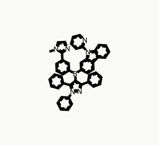 Cn1ccnc1-c1cccc(B(c2ccc3c4ccccc4n(-c4ccccn4)c3c2)c2c(-c3ccccc3)nn(-c3ccccc3)c2-c2ccccc2)c1